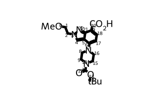 COCCn1cc2c(N3CCN(C(=O)OC(C)(C)C)CC3)ccc(C(=O)O)c2n1